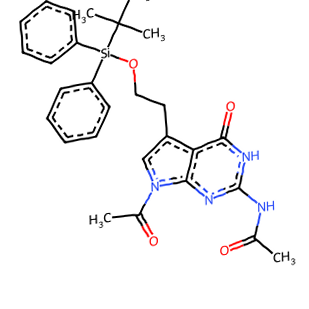 CC(=O)Nc1nc2c(c(CCO[Si](c3ccccc3)(c3ccccc3)C(C)(C)C)cn2C(C)=O)c(=O)[nH]1